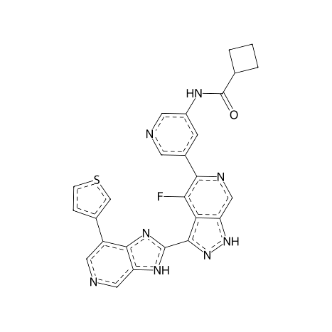 O=C(Nc1cncc(-c2ncc3[nH]nc(-c4nc5c(-c6ccsc6)cncc5[nH]4)c3c2F)c1)C1CCC1